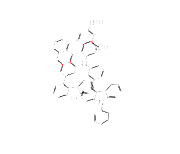 CC(C)(C)c1cc(-c2cccc3cccc(-c4ccccc4N(c4cccc(-c5cccc6oc7ccccc7c56)c4)c4cccc(-c5cccc6c5c5ccccc5n6-c5ccccc5)c4)c23)cc(C(C)(C)C)c1